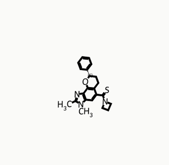 Cc1nc2c3c(c(C(=S)N4CCC4)cc2n1C)CC[C@@H](c1ccccc1)O3